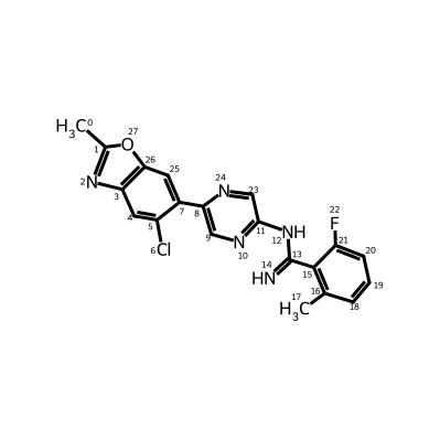 Cc1nc2cc(Cl)c(-c3cnc(NC(=N)c4c(C)cccc4F)cn3)cc2o1